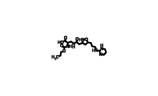 CCCOC(=O)NC(CNC(=O)CC1CC(CCCNC2N=CCCN2)ON1)C(=O)O